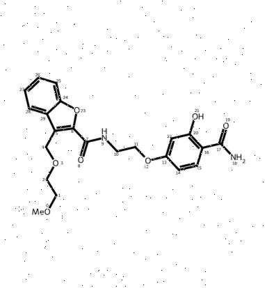 COCCOCc1c(C(=O)NCCOc2ccc(C(N)=O)c(O)c2)oc2ccccc12